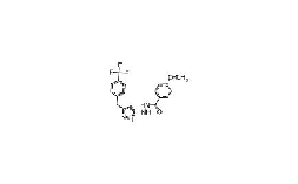 COc1ccc(C(=O)NNc2nnc(Cc3ccc(C(F)(F)F)cc3)s2)cc1